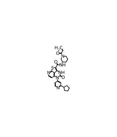 C=CC(=O)N1CCC[C@@H](NC(=O)c2sc3nccc4c3c2NC(=O)N4c2ccnc(C3CCCC3)c2)C1